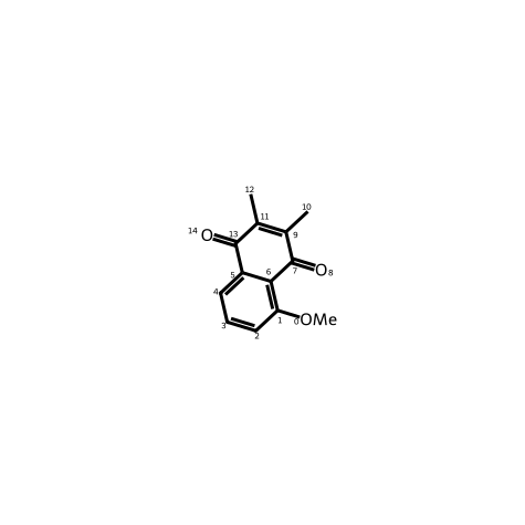 COc1cccc2c1C(=O)C(C)=C(C)C2=O